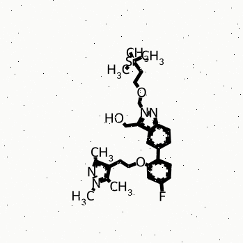 Cc1nn(C)c(C)c1CCOc1cc(F)ccc1-c1ccc2nn(COCC[Si](C)(C)C)c(CO)c2c1